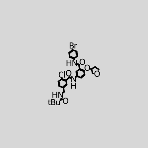 CC(C)(C)C(=O)NCc1ccc(Cl)c(C(=O)Nc2ccc(OC3CCOC3)c(C(=O)Nc3ccc(Br)cc3)c2)c1